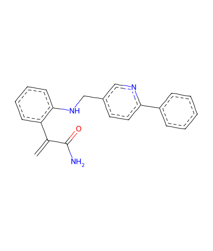 C=C(C(N)=O)c1ccccc1NCc1ccc(-c2ccccc2)nc1